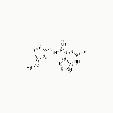 COc1cccc(C=NN(C)c2nc(=O)[nH]c3[nH]cnc23)c1